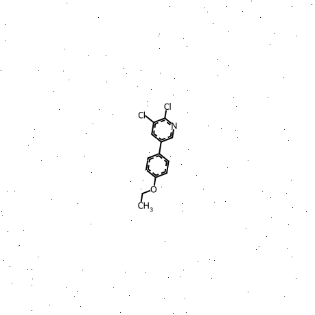 CCOc1ccc(-c2cnc(Cl)c(Cl)c2)cc1